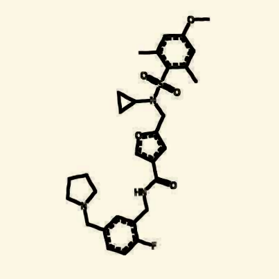 COc1cc(C)c(S(=O)(=O)N(Cc2cc(C(=O)NCc3cc(CN4CCCC4)ccc3F)co2)C2CC2)c(C)c1